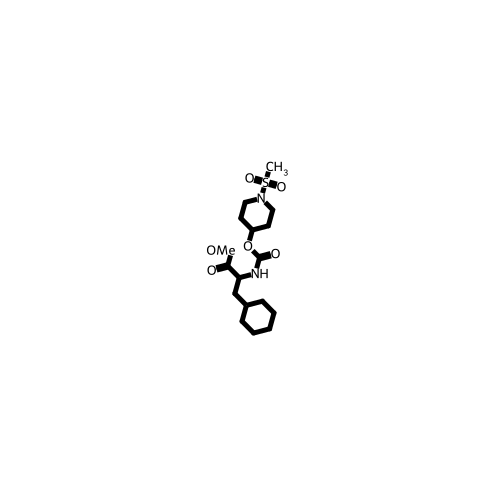 COC(=O)C(CC1CCCCC1)NC(=O)OC1CCN(S(C)(=O)=O)CC1